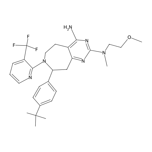 COCCN(C)c1nc(N)c2c(n1)CC(c1ccc(C(C)(C)C)cc1)N(c1ncccc1C(F)(F)F)CC2